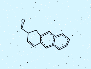 O=CC1C=Cc2cc3ccccc3cc2C1